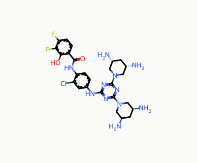 N[C@@H]1C[C@H](N)CN(c2nc(Nc3ccc(NC(=O)c4ccc(F)c(F)c4O)c(Cl)c3)nc(N3C[C@H](N)C[C@H](N)C3)n2)C1